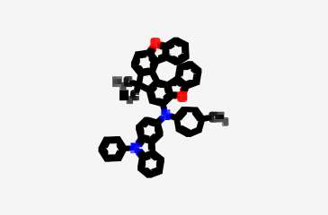 CC1=CC=C(N(c2ccc3c(c2)c2ccccc2n3-c2ccccc2)c2cc3c(c4c2oc2ccccc24)-c2c(ccc4oc5ccccc5c24)C3(C)C)C=CC1